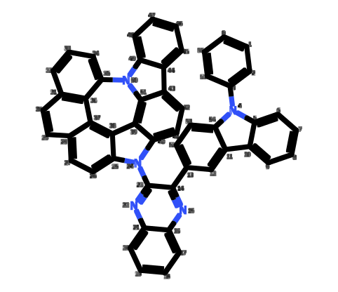 c1ccc(-n2c3ccccc3c3cc(-c4nc5ccccc5nc4-n4c5ccc6ccc7cccc8c7c6c5c5c4ccc4c6ccccc6n8c45)ccc32)cc1